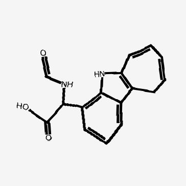 O=CNC(C(=O)O)c1cccc2c3c([nH]c12)C=CC=CC3